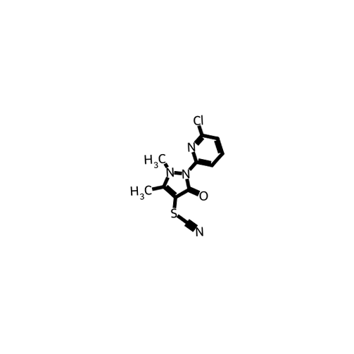 Cc1c(SC#N)c(=O)n(-c2cccc(Cl)n2)n1C